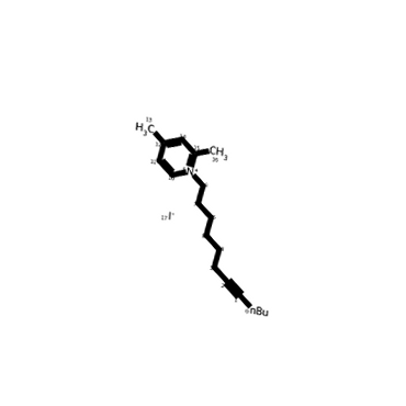 CCCCC#CCCCCCC[n+]1ccc(C)cc1C.[I-]